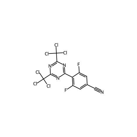 N#Cc1cc(F)c(-c2nc(C(Cl)(Cl)Cl)nc(C(Cl)(Cl)Cl)n2)c(F)c1